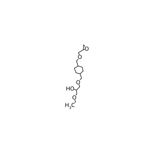 CCOCC(O)COCC1CCC(COCC2CO2)CC1